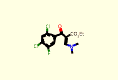 CCOC(=O)C(=CN(C)C)C(=O)c1cc(F)c(Cl)cc1Cl